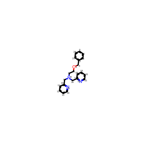 c1ccc(COCCN(Cc2ccccn2)Cc2ccccn2)cc1